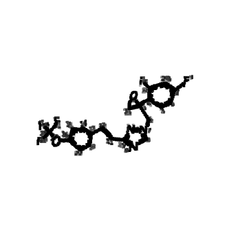 Fc1ccc(C2(Cn3cnc(C=Cc4ccc(OC(F)(F)F)cc4)n3)CO2)c(F)c1